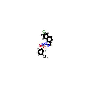 O=S(=O)(Nn1ncc2ccc3cc(Cl)ccc3c21)c1cccc(C(F)(F)F)c1